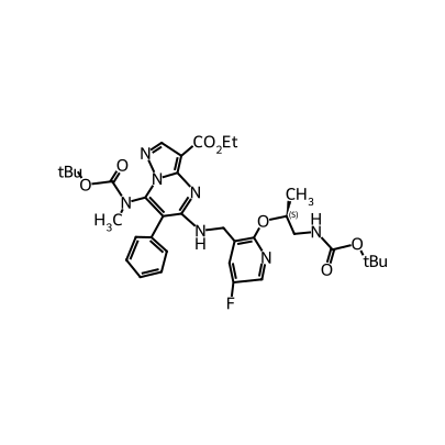 CCOC(=O)c1cnn2c(N(C)C(=O)OC(C)(C)C)c(-c3ccccc3)c(NCc3cc(F)cnc3O[C@@H](C)CNC(=O)OC(C)(C)C)nc12